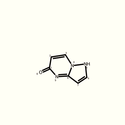 O=c1ccn2[nH]ccc2n1